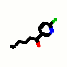 CCCCC(=O)c1ccc(Cl)nc1